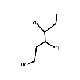 CCC(Cl)C(Cl)CCO